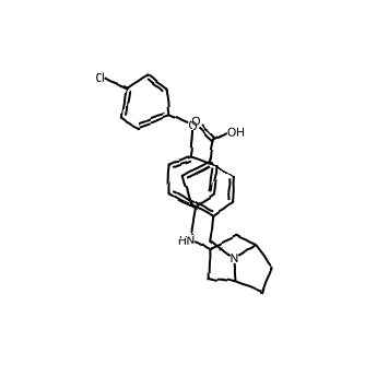 O=C(O)c1ccc(CN2C3CCC2CC(Nc2ccc(Oc4ccc(Cl)cc4)cc2)C3)cc1